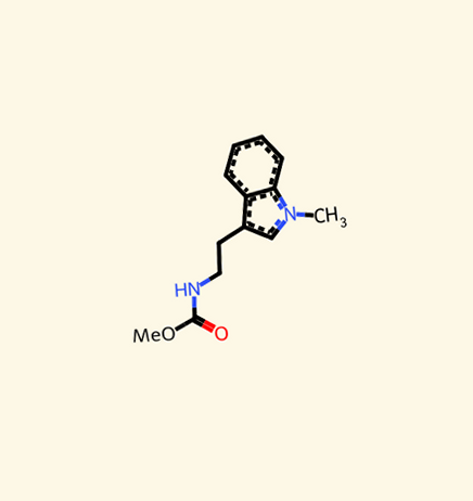 COC(=O)NCCc1cn(C)c2ccccc12